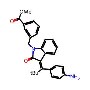 COC(=O)c1cccc(CN2C(=O)/C(=C(/c3ccc(N)cc3)C(C)(C)C)c3ccccc32)c1